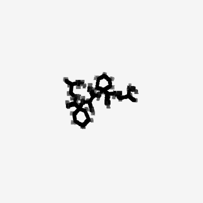 CC(N)CNC(=O)C1(OC(=O)C(=O)OC2(C(=O)NCC(C)N)CCCCC2)CCCCC1